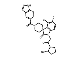 N#CC1CCCN1C(=O)CN1C(=O)C2(CCN(C(=O)c3ccc4[nH]ncc4c3)CC2)c2c1ccc(F)c2Cl